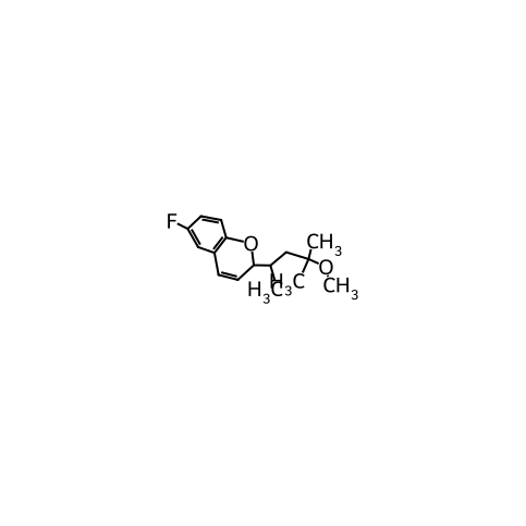 COC(C)(C)CC(C)C1C=Cc2cc(F)ccc2O1